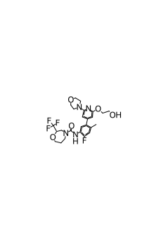 Cc1cc(F)c(NC(=O)N2CCCOC(C(F)(F)F)C2)cc1-c1cc(OCCO)nc(N2CCOCC2)c1